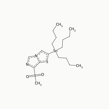 CCC[CH2][Sn]([CH2]CCC)([CH2]CCC)[c]1cn2cnc(S(C)(=O)=O)c2s1